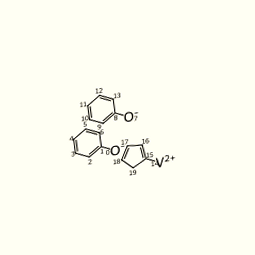 [O-]c1ccccc1.[O-]c1ccccc1.[V+2][C]1=CC=CC1